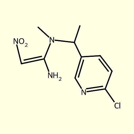 CC(c1ccc(Cl)nc1)N(C)/C(N)=C\[N+](=O)[O-]